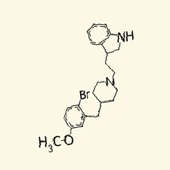 COc1ccc(Br)c(CC2CCN(CCC3CNc4ccccc43)CC2)c1